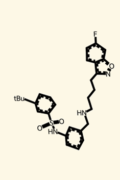 CC(C)(C)c1cccc(S(=O)(=O)Nc2cccc(CNCCCCc3noc4cc(F)ccc34)c2)c1